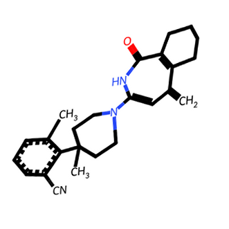 C=C1C=C(N2CCC(C)(c3c(C)cccc3C#N)CC2)NC(=O)C2=C1CCCC2